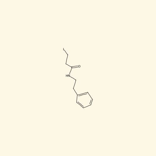 O=C(CCI)NCCc1ccccc1